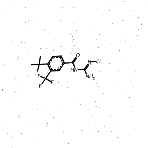 CC(C)(C)c1ccc(C(=O)NC(N)=NCl)cc1C(F)(F)F